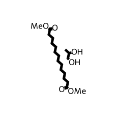 CC(O)CO.COC(=O)CCCCCCCCCCCCC(=O)OC